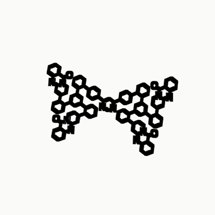 O=c1c2ccccc2nc2cc(-c3ccccc3-c3cc(-c4ccccc4-c4ccc(-c5cc(-c6ccc(-c7ccccc7-c7cc(-c8ccccc8-c8ccn9c(=O)c%10ccccc%10nc9c8)cc(-c8ccccc8-c8ccn9c(=O)c%10ccccc%10nc9c8)c7)cc6)ncn5)cc4)cc(-c4ccccc4-c4ccn5c(=O)c6ccccc6nc5c4)c3)ccn12